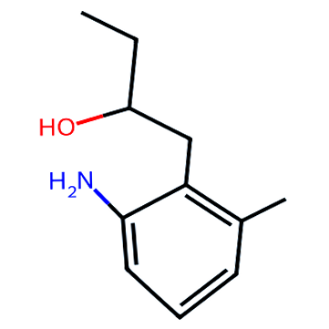 CCC(O)Cc1c(C)cccc1N